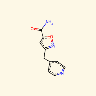 NC(=O)c1cc(Cc2ccncc2)no1